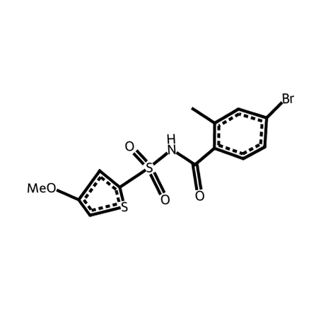 COc1csc(S(=O)(=O)NC(=O)c2ccc(Br)cc2C)c1